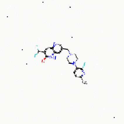 N#Cc1ccc(N2CCN(Cc3cnc4cc(C(F)F)c(=O)[nH]c4c3)CC2)c(F)n1